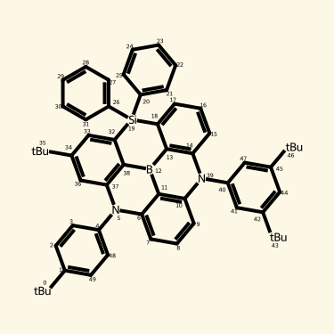 CC(C)(C)c1ccc(N2c3cccc4c3B3c5c(cccc5[Si](c5ccccc5)(c5ccccc5)c5cc(C(C)(C)C)cc2c53)N4c2cc(C(C)(C)C)cc(C(C)(C)C)c2)cc1